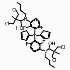 CCCCN(c1ccc(F)[c]([Ti]([C]2=CC=CC2)([C]2=CC=CC2)[c]2c(F)ccc(N(CCCC)C(O)C(C)(CCl)CCl)c2F)c1F)C(O)C(C)(CCl)CCl